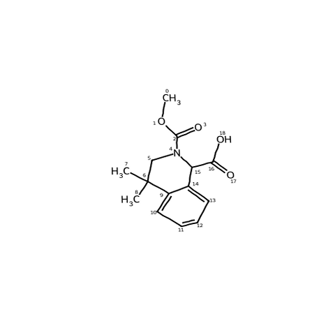 COC(=O)N1CC(C)(C)c2ccccc2C1C(=O)O